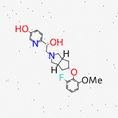 COc1cccc(F)c1O[C@@H]1C[C@@H]2CN(CC(O)c3ccc(O)cn3)C[C@@H]2C1